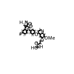 COc1cc2nccc(Oc3ccc(N(C(=O)C4(C(N)=O)CC4)c4ccc(F)cc4)cc3)c2cc1OCCC(=O)NO